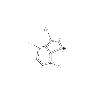 [O-][n+]1ccc(F)c2c(Br)c[nH]c21